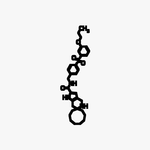 CCCOc1cccc(S(=O)(=O)c2ccc(CNC(=O)c3cc4c([nH]3)CC3(CCCCCCCC3)NC4)cc2)c1